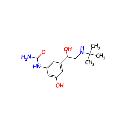 CC(C)(C)NCC(O)c1cc(O)cc(NC(N)=O)c1